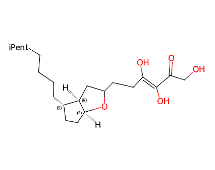 CCCC(C)CCCC[C@H]1CC[C@@H]2OC(CCC(O)=C(O)C(=O)CO)C[C@H]12